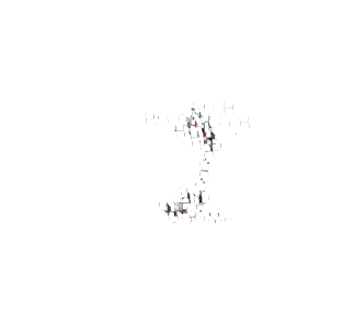 COc1cc2c(cc1-c1cccc(NC(=O)CCOCCOCCOCCOCCNC(=O)[C@H](CS(=O)(=O)O)NC(=O)CN3CCN(CC(=O)O)CCN(CC(=O)O)CCN(CC(=O)O)CC3)c1)-c1c(c(C(=O)N3CCOCC3(C)C)nn1-c1cc(Cl)cc(Cl)c1)CO2